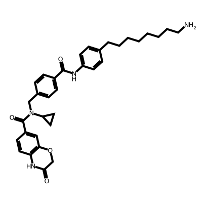 NCCCCCCCCc1ccc(NC(=O)c2ccc(CN(C(=O)c3ccc4c(c3)OCC(=O)N4)C3CC3)cc2)cc1